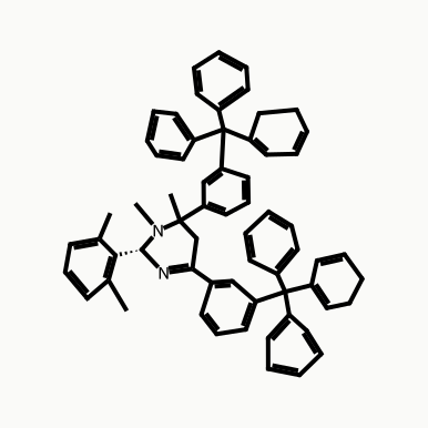 Cc1cccc(C)c1[C@H]1N=C(c2cccc(C(C3=CCCC=C3)(c3ccccc3)c3ccccc3)c2)CC(C)(c2cccc(C(C3=CC=CCC3)(c3ccccc3)c3ccccc3)c2)N1C